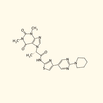 C[C@@H](C(=O)Nc1nc(-c2cnc(N3CCCCC3)nc2)cs1)n1cnc2c1c(=O)n(C)c(=O)n2C